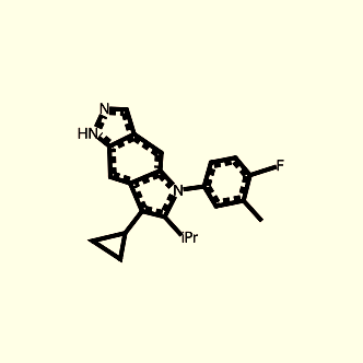 Cc1cc(-n2c(C(C)C)c(C3CC3)c3cc4[nH]ncc4cc32)ccc1F